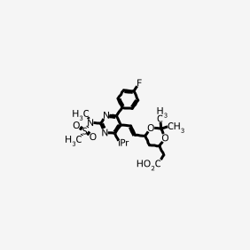 CC(C)c1nc(N(C)S(C)(=O)=O)nc(-c2ccc(F)cc2)c1C=CC1CC(CC(=O)O)OC(C)(C)O1